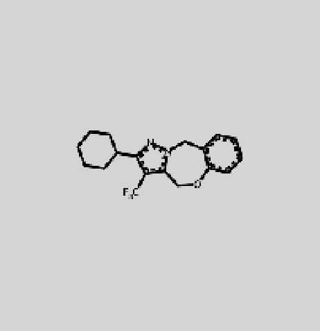 FC(F)(F)c1c(C2CCCCC2)nn2c1COc1ccccc1C2